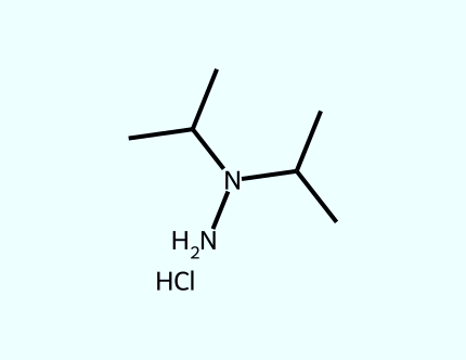 CC(C)N(N)C(C)C.Cl